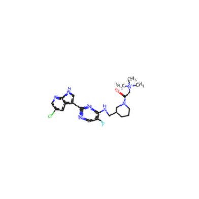 C[N+](C)(C)CC(=O)N1CCCC(CNc2nc(-c3c[nH]c4ncc(Cl)cc34)ncc2F)C1